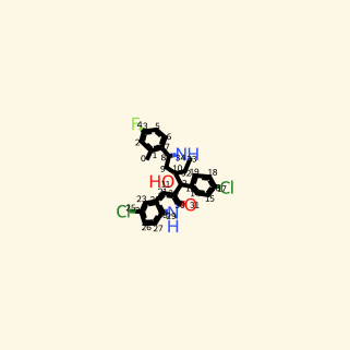 Cc1cc(F)ccc1C1CC(O)(C(c2ccc(Cl)cc2)c2cc3cc(Cl)ccc3[nH]c2=O)CCN1